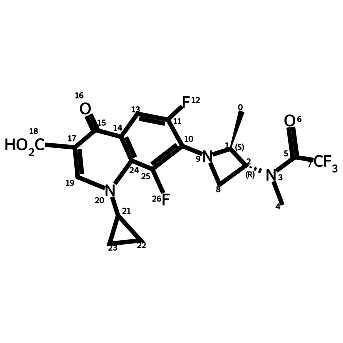 C[C@H]1[C@H](N(C)C(=O)C(F)(F)F)CN1c1c(F)cc2c(=O)c(C(=O)O)cn(C3CC3)c2c1F